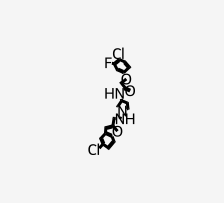 O=C(COc1ccc(Cl)c(F)c1)NC1CCN(NCc2cc3cc(Cl)ccc3o2)C1